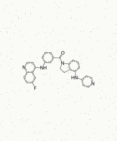 O=C(c1cccc(Nc2ccnc3ccc(F)cc23)c1)N1CCc2c(Nc3ccncc3)cccc21